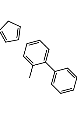 C1=CCC=C1.Cc1ccccc1-c1ccccc1